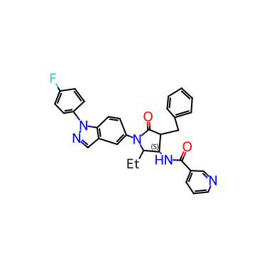 CCC1[C@@H](NC(=O)c2cccnc2)C(Cc2ccccc2)C(=O)N1c1ccc2c(cnn2-c2ccc(F)cc2)c1